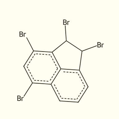 Brc1cc(Br)c2cccc3c2c1C(Br)C3Br